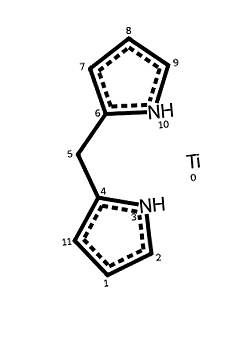 [Ti].c1c[nH]c(Cc2ccc[nH]2)c1